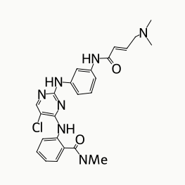 CNC(=O)c1ccccc1Nc1nc(Nc2cccc(NC(=O)C=CCN(C)C)c2)ncc1Cl